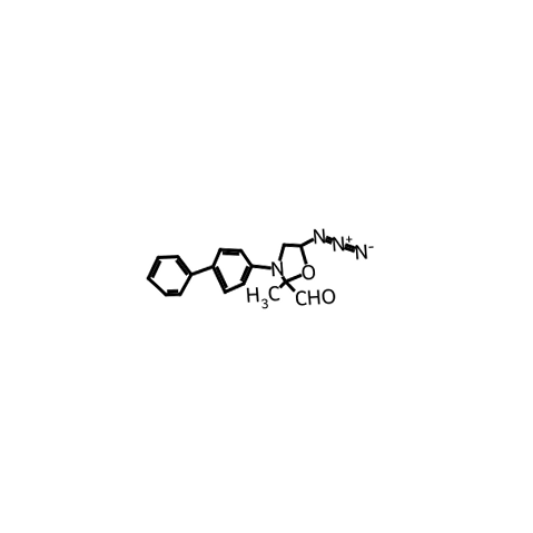 CC1(C=O)OC(N=[N+]=[N-])CN1c1ccc(-c2ccccc2)cc1